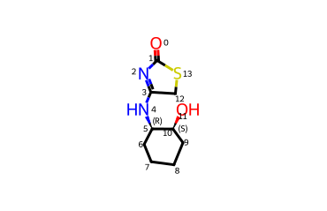 O=C1N=C(N[C@@H]2CCCC[C@@H]2O)CS1